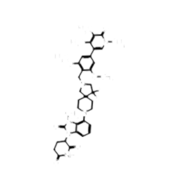 COc1cc(-c2cn(C)c(=O)c(C)c2C)cc(OC)c1CN1CC(F)(F)C2(CCN(c3cccc4c3n(C)c(=O)n4C3CCC(=O)NC3=O)CC2)C1